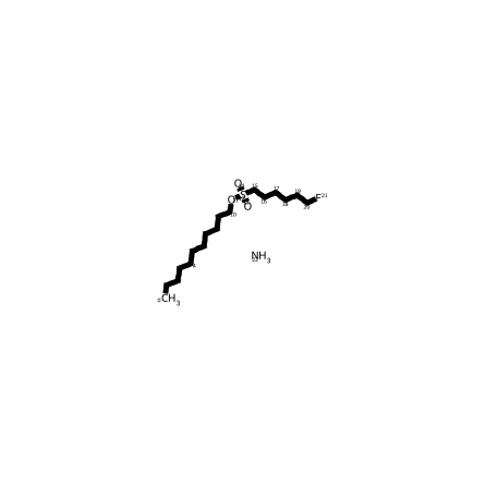 CCCCCCCCCCCOS(=O)(=O)CCCCCCF.N